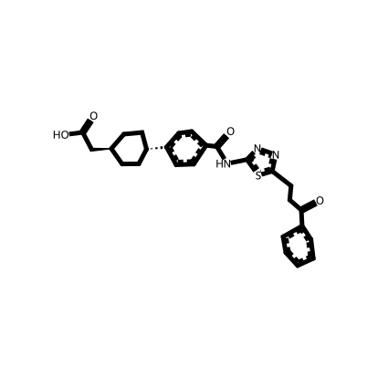 O=C(O)C[C@H]1CC[C@H](c2ccc(C(=O)Nc3nnc(CCC(=O)c4ccccc4)s3)cc2)CC1